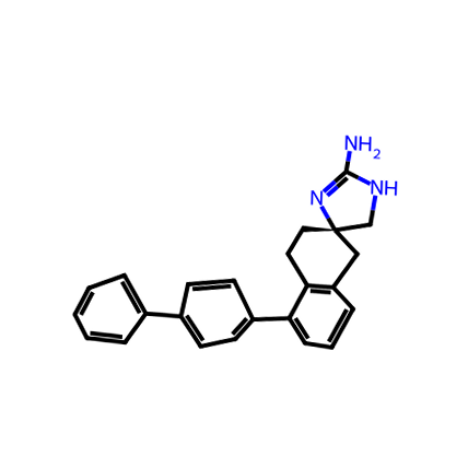 NC1=N[C@]2(CCc3c(cccc3-c3ccc(-c4ccccc4)cc3)C2)CN1